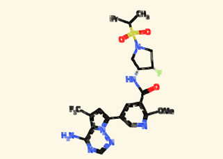 COc1ncc(-c2cc(C(F)(F)F)c3c(N)ncnn23)cc1C(=O)N[C@@H]1CN(S(=O)(=O)C(C)C(C)C)C[C@@H]1F